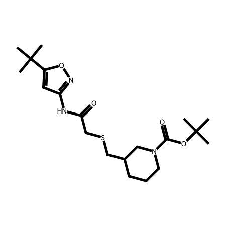 CC(C)(C)OC(=O)N1CCCC(CSCC(=O)Nc2cc(C(C)(C)C)on2)C1